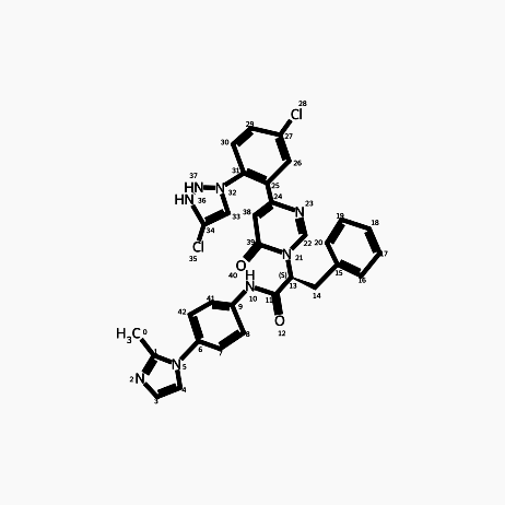 Cc1nccn1-c1ccc(NC(=O)[C@H](Cc2ccccc2)n2cnc(-c3cc(Cl)ccc3N3C=C(Cl)NN3)cc2=O)cc1